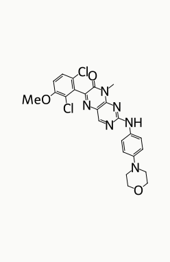 COc1ccc(Cl)c(-c2nc3cnc(Nc4ccc(N5CCOCC5)cc4)nc3n(C)c2=O)c1Cl